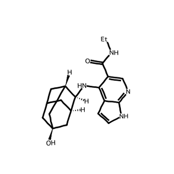 CCNC(=O)c1cnc2[nH]ccc2c1N[C@H]1[C@@H]2CC3C[C@H]1C[C@@](O)(C3)C2